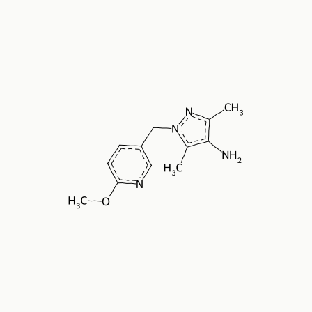 COc1ccc(Cn2nc(C)c(N)c2C)cn1